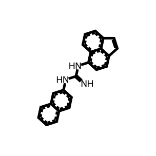 N=C(Nc1ccc2ccccc2c1)Nc1ccc2c3c(cccc13)C=C2